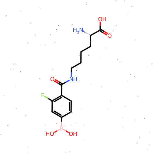 N[C@@H](CCCCNC(=O)c1ccc(B(O)O)cc1F)C(=O)O